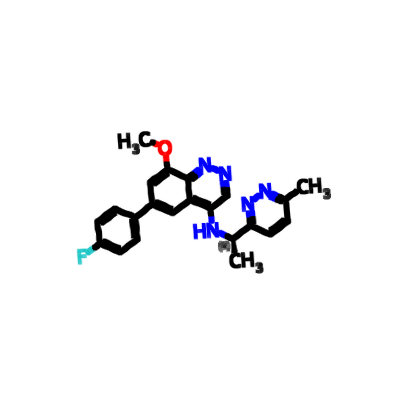 COc1cc(-c2ccc(F)cc2)cc2c(N[C@H](C)c3ccc(C)nn3)cnnc12